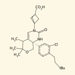 CC1C2=CN(C34CC(C(=O)O)(C3)C4)C(=O)N[C@@]2(c2ccc(CCC(C)(C)C)c(Cl)c2)COC1(C)C